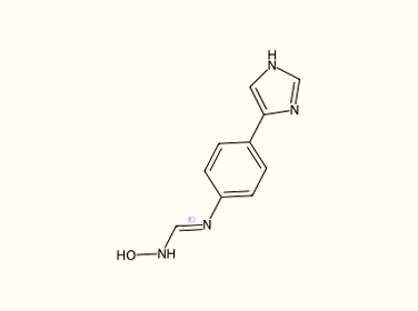 ON/C=N/c1ccc(-c2c[nH]cn2)cc1